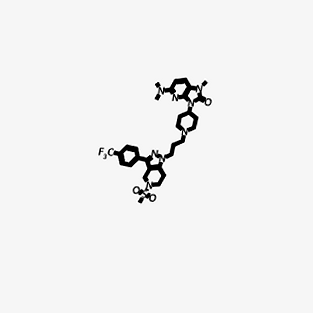 CN(C)c1ccc2c(n1)n(C1CCN(CCCn3nc(-c4ccc(C(F)(F)F)cc4)c4c3CCN(S(C)(=O)=O)C4)CC1)c(=O)n2C